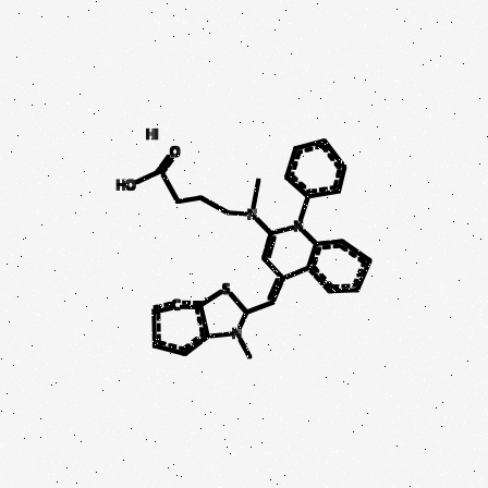 CN(CCCC(=O)O)C1=CC(=CC2Sc3ccccc3N2C)c2ccccc2N1c1ccccc1.I